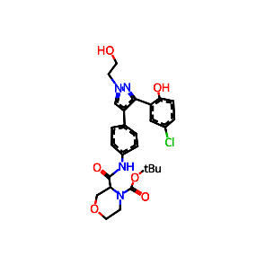 CC(C)(C)OC(=O)N1CCOCC1C(=O)Nc1ccc(-c2cn(CCO)nc2-c2cc(Cl)ccc2O)cc1